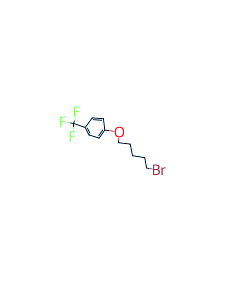 FC(F)(F)c1ccc(OCCCCCBr)cc1